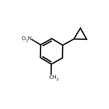 CC1=CC([N+](=O)[O-])=CC(C2CC2)C1